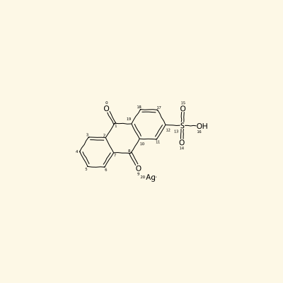 O=C1c2ccccc2C(=O)c2cc(S(=O)(=O)O)ccc21.[Ag]